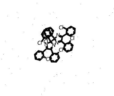 Clc1ccccc1C1=NC(c2ccccc2Cl)(C2(c3ccccc3Cl)N=C(c3ccccc3Cl)C(c3ccccc3Cl)=N2)N=C1c1ccccc1Cl